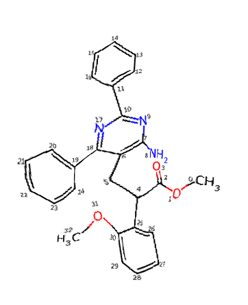 COC(=O)C(Cc1c(N)nc(-c2ccccc2)nc1-c1ccccc1)c1ccccc1OC